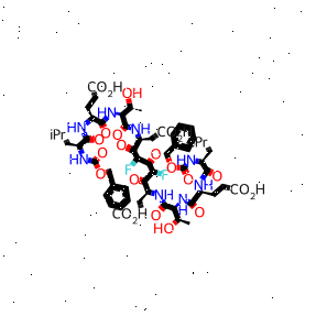 CC(C)C[C@H](NC(=O)OCc1ccccc1)C(=O)N[C@@H](CCC(=O)O)C(=O)N[C@H](C(=O)N[C@@H](CC(=O)O)C(=O)C(F)C(=O)C(F)C(=O)[C@H](CC(=O)O)NC(=O)[C@@H](NC(=O)[C@H](CCC(=O)O)NC(=O)[C@H](CC(C)C)NC(=O)OCc1ccccc1)[C@@H](C)O)[C@@H](C)O